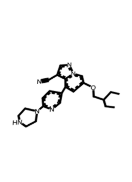 CCC(CC)COc1cc(-c2ccc(N3CCNCC3)nc2)c2c(C#N)cnn2c1